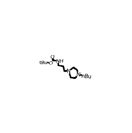 CCCCN1CCN(CCCNC(=O)OC(C)(C)C)CC1